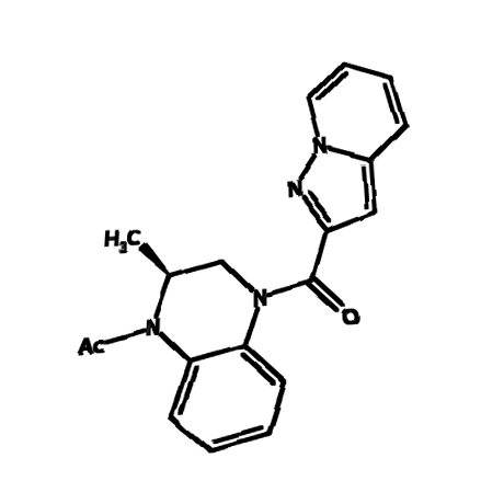 CC(=O)N1c2ccccc2N(C(=O)c2cc3ccccn3n2)C[C@@H]1C